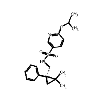 CC(C)Oc1ccc(S(=O)(=O)NC[C@@]2(c3ccccc3)CC2(C)C)cn1